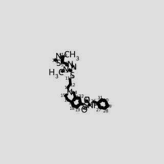 Cc1ncsc1-c1nnc(SCCCN2CCc3ccc(S(=O)(=O)NCc4ccccc4)cc3C2)n1C